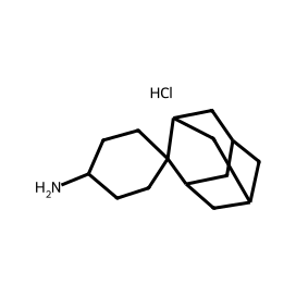 Cl.NC1CCC2(CC1)C1CC3CC(C1)CC2C3